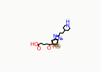 Br.Br.Cn1c(CCC2CCNCC2)nc2cc(C(=O)CCCC(=O)O)ccc21